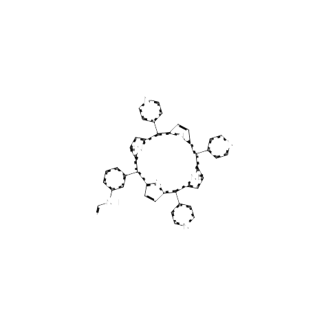 O=CNc1cccc(-c2c3nc(c(-c4ccncc4)c4ccc([nH]4)c(-c4ccncc4)c4nc(c(-c5ccncc5)c5ccc2[nH]5)C=C4)C=C3)c1